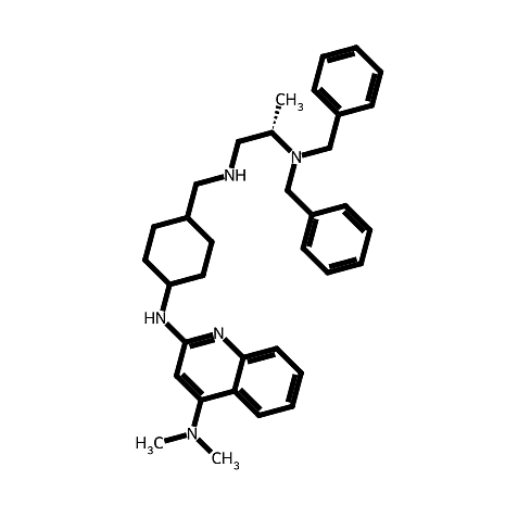 C[C@@H](CNCC1CCC(Nc2cc(N(C)C)c3ccccc3n2)CC1)N(Cc1ccccc1)Cc1ccccc1